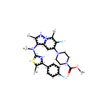 [2H]c1c(F)c(N2CCN(C(=O)OC(C)(C)C)CC2)cc2c(N(C)c3nc(-c4ccc(F)cc4)c(C#N)s3)c(CC)nn12